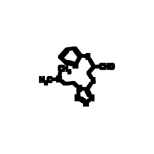 CN(C)CCn1nnnc1SCC(C=O)Sc1ccccn1